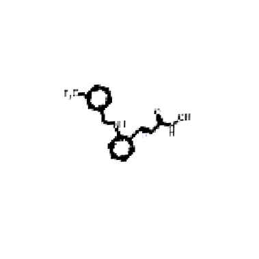 O=C(/C=C/c1ccccc1NCc1cccc(C(F)(F)F)c1)NO